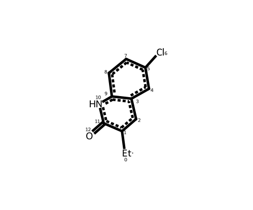 C[CH]c1cc2cc(Cl)ccc2[nH]c1=O